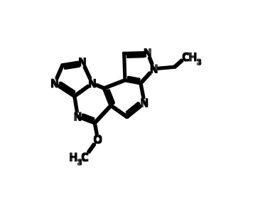 CCn1ncc2c1ncc1c(OC)nc3ncnn3c12